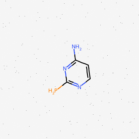 Nc1ccnc(P)n1